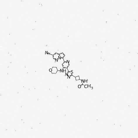 CC(=O)NC1CC(c2nnc(-c3cnc(-c4ccc5cc(C#N)cnn45)cc3NC3CCOCC3)s2)C1